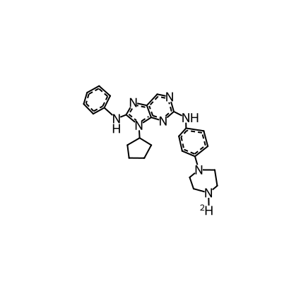 [2H]N1CCN(c2ccc(Nc3ncc4nc(Nc5ccccc5)n(C5CCCC5)c4n3)cc2)CC1